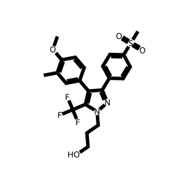 COc1ccc(-c2c(-c3ccc(S(C)(=O)=O)cc3)nn(CCCO)c2C(F)(F)F)cc1C